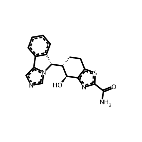 NC(=O)c1nc2c(s1)CC[C@@H]([C@H]1c3ccccc3-c3cncn31)[C@@H]2O